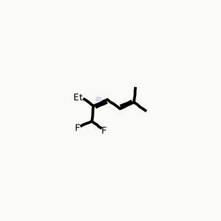 CC/C(=C/C=C(C)C)C(F)F